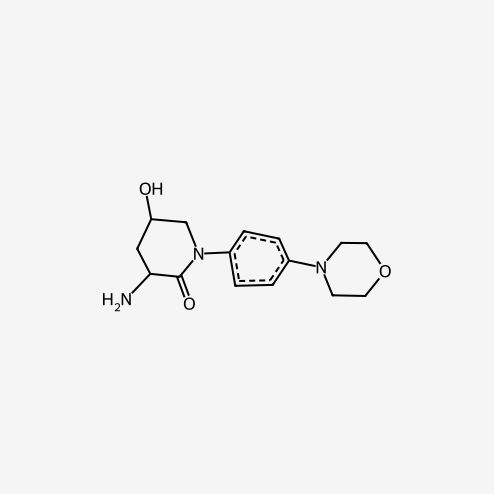 NC1CC(O)CN(c2ccc(N3CCOCC3)cc2)C1=O